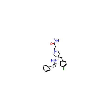 CNC(=O)CCN1CCC(CN[C@@H]2C[C@H]2c2ccccc2)(Cc2ccc(F)cc2)CC1